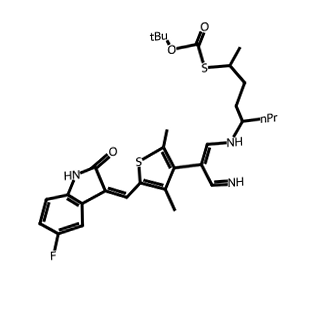 CCCC(CCC(C)SC(=O)OC(C)(C)C)N/C=C(\C=N)c1c(C)sc(/C=C2\C(=O)Nc3ccc(F)cc32)c1C